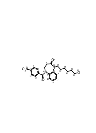 O=C1CCN(C(=O)c2ccc([N+](=O)[O-])cc2)c2ccccc2N1CCCCCCCl